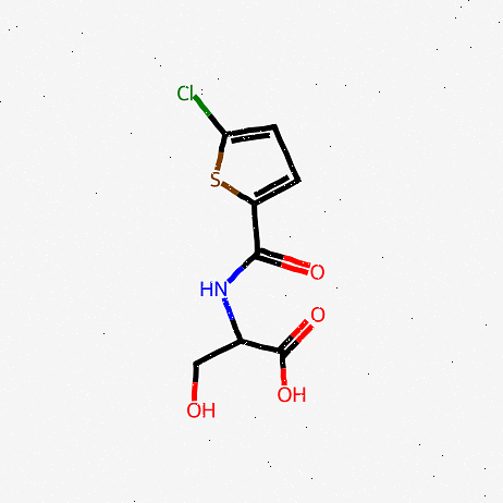 O=C(NC(CO)C(=O)O)c1ccc(Cl)s1